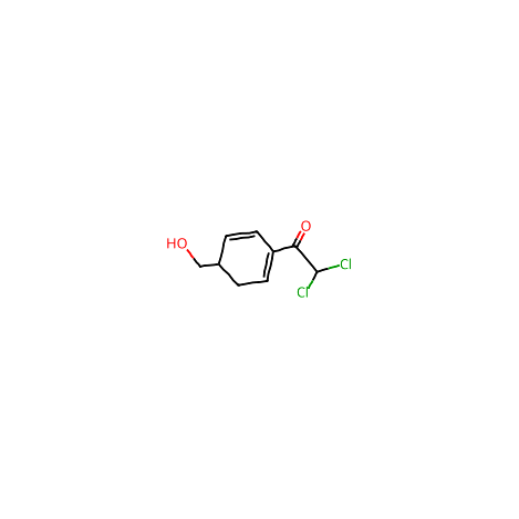 O=C(C1=CCC(CO)C=C1)C(Cl)Cl